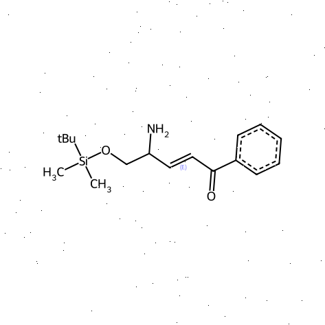 CC(C)(C)[Si](C)(C)OCC(N)/C=C/C(=O)c1ccccc1